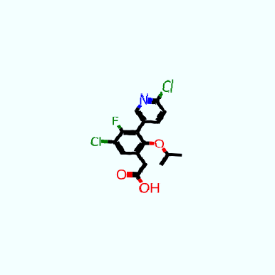 CC(C)Oc1c(CC(=O)O)cc(Cl)c(F)c1-c1ccc(Cl)nc1